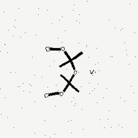 CC(C)(OCl)OC(C)(C)OCl.[V]